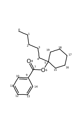 CCCCCC1(OC(=O)c2ccccc2)CCCCC1